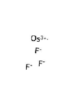 [F-].[F-].[F-].[Os+3]